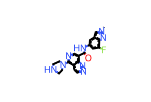 Cn1cc2cc(NC(=O)c3cnc(N4CCNCC4)c4ccnnc34)cc(F)c2n1